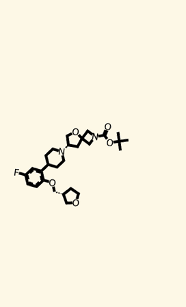 CC(C)(C)OC(=O)N1CC2(C[C@H](N3CCC(c4cc(F)ccc4OC[C@@H]4CCOC4)CC3)CO2)C1